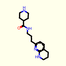 O=C(NCCCc1ccc2c(n1)NCCC2)C1CCNCC1